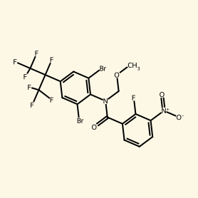 COCN(C(=O)c1cccc([N+](=O)[O-])c1F)c1c(Br)cc(C(F)(C(F)(F)F)C(F)(F)F)cc1Br